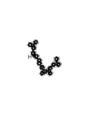 c1ccc(-n2c3ccccc3c3cc(-c4ccc5[nH]c6cc(-c7ccc8cc(-c9ccc(-c%10nc(-n%11c%12ccccc%12c%12cc(-c%13ccc%14c(c%13)c%13ccccc%13n%14-c%13ccccc%13)ccc%12%11)nc%11ccccc%10%11)cc9)ccc8c7)ccc6c5c4)ccc32)cc1